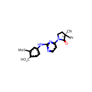 CSc1cc(Nc2nccc(N3CC[C@@](C#N)(C(C)C)C3=O)n2)ccc1C(=O)O